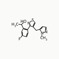 CC(O)c1cc(F)ccc1-c1nscc1Cc1ccnn1C